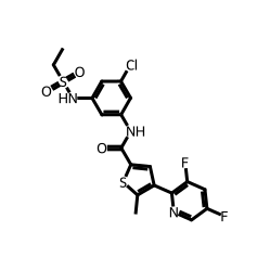 CCS(=O)(=O)Nc1cc(Cl)cc(NC(=O)c2cc(-c3ncc(F)cc3F)c(C)s2)c1